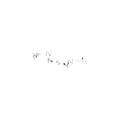 CN(CCCN(C)c1ccc(/C=C/c2ccnc(F)c2)cc1)C(=O)CCCSSCCCC(=O)N(C)CCCN(C)c1ccc(/C=C/c2cc[n+](C)c(F)c2)cc1